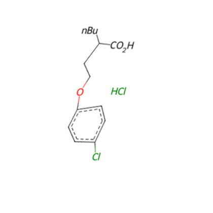 CCCCC(CCOc1ccc(Cl)cc1)C(=O)O.Cl